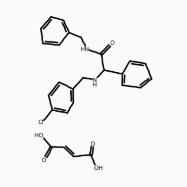 O=C(NCc1ccccc1)C(NCc1ccc(Cl)cc1)c1ccccc1.O=C(O)/C=C/C(=O)O